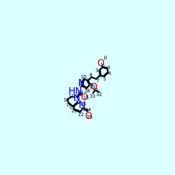 COc1cccc(CCc2cnc(NC(=O)N3CCCc4ccc(C=O)nc43)cc2OC(C)C)c1